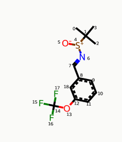 CC(C)(C)[S+]([O-])N=Cc1cccc(OC(F)(F)F)c1